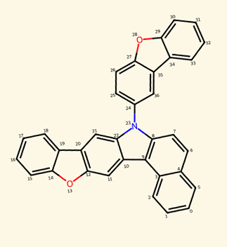 c1ccc2c(c1)ccc1c2c2cc3oc4ccccc4c3cc2n1-c1ccc2oc3ccccc3c2c1